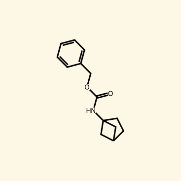 O=C(NC12CCC(C1)C2)OCc1ccccc1